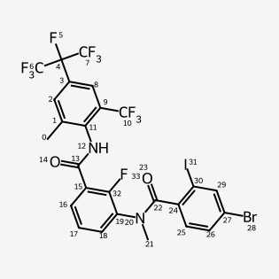 Cc1cc(C(F)(C(F)(F)F)C(F)(F)F)cc(C(F)(F)F)c1NC(=O)c1cccc(N(C)C(=O)c2ccc(Br)cc2I)c1F